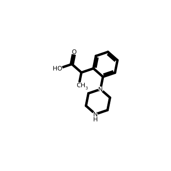 CC(C(=O)O)c1ccccc1N1CCNCC1